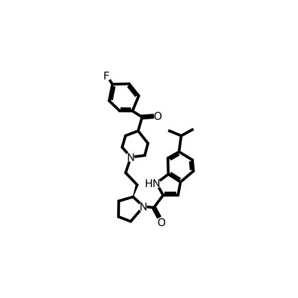 CC(C)c1ccc2cc(C(=O)N3CCC[C@H]3CCN3CCC(C(=O)c4ccc(F)cc4)CC3)[nH]c2c1